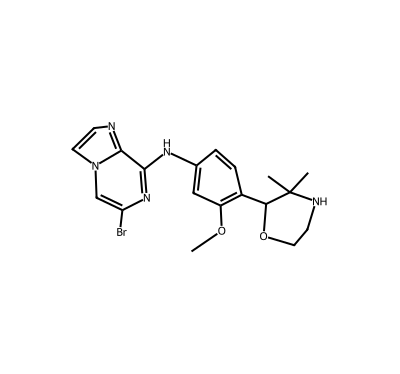 COc1cc(Nc2nc(Br)cn3ccnc23)ccc1C1OCCNC1(C)C